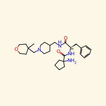 CC1(CN2CCC(CNC(=O)[C@@H](Cc3ccccc3)NC(=O)C3(N)CCCC3)CC2)CCOCC1